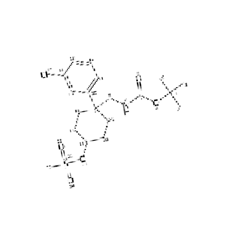 CC(C)(C)OC(=O)NCC1(c2cccc(Cl)c2)CCC(OS(C)(=O)=O)CC1